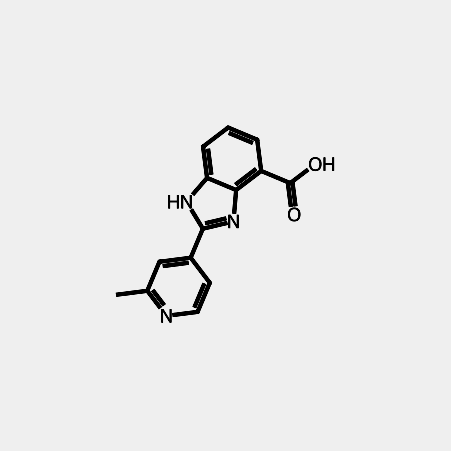 Cc1cc(-c2nc3c(C(=O)O)cccc3[nH]2)ccn1